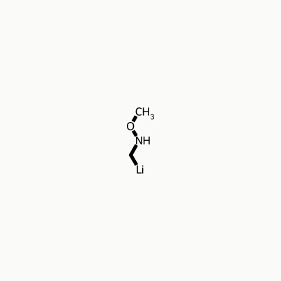 [Li][CH2]NOC